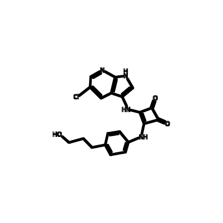 O=c1c(Nc2ccc(CCCO)cc2)c(Nc2c[nH]c3ncc(Cl)cc23)c1=O